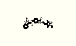 CCN1NC(C)C(CCNC(=O)c2ccc(NC(=O)C3NSc4ccccc43)cc2)C1C